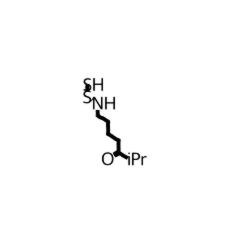 CC(C)C(=O)CCCCNSS